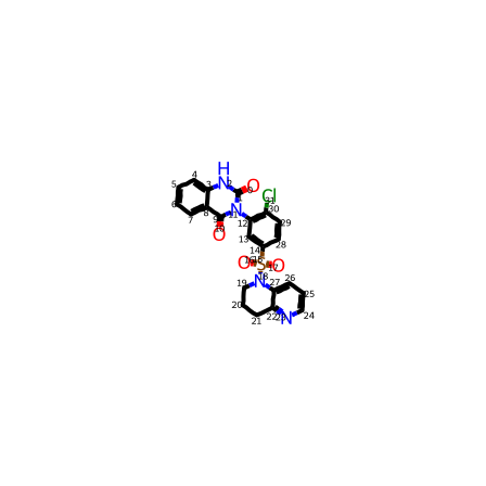 O=c1[nH]c2ccccc2c(=O)n1-c1cc(S(=O)(=O)N2CCCc3ncccc32)ccc1Cl